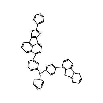 c1ccc(-c2nc3c(o2)-c2cccc4c(-c5cccc(N(c6ccccc6)c6ccc(-c7cccc8c7sc7ccccc78)cc6)c5)ccc-3c24)cc1